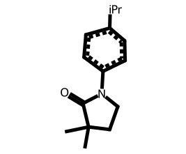 CC(C)c1ccc(N2CCC(C)(C)C2=O)cc1